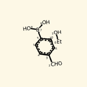 CCO.O=Cc1ccc(B(O)O)cc1